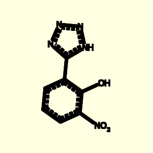 O=[N+]([O-])c1cccc(-c2nnn[nH]2)c1O